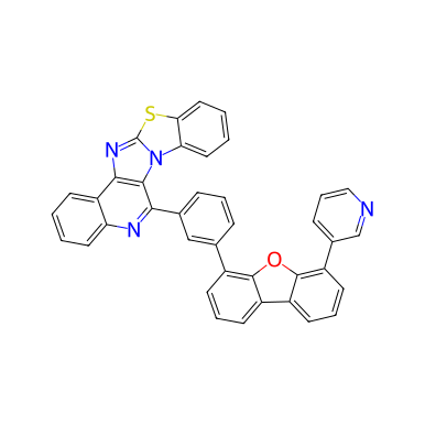 c1cncc(-c2cccc3c2oc2c(-c4cccc(-c5nc6ccccc6c6nc7sc8ccccc8n7c56)c4)cccc23)c1